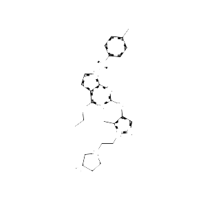 CCOc1nc(Nc2cnn(CCN3CC[C@@H](F)C3)c2C)nc2c1ccn2S(=O)(=O)c1ccc(C)cc1